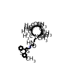 Cc1ccc2c(c1)-c1sc(/C=C/C(=O)NCCCN3C[C@H](C)C[C@@](C)(O)[C@H](O)[C@@H](C)[C@H](O)[C@@H](C)C(=O)O[C@H](I)[C@@](C)(O)[C@H](O)[C@H]3C)cc1-c1ccccc1S2